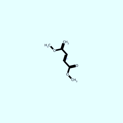 C=C(/C=C/C(=O)OC)OC